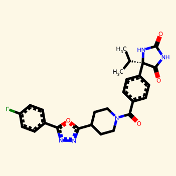 CC(C)[C@]1(c2ccc(C(=O)N3CCC(c4nnc(-c5ccc(F)cc5)o4)CC3)cc2)NC(=O)NC1=O